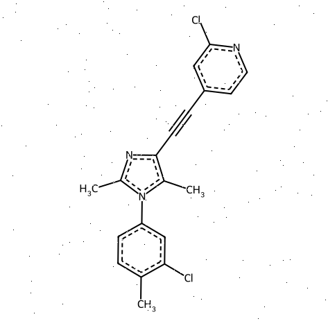 Cc1ccc(-n2c(C)nc(C#Cc3ccnc(Cl)c3)c2C)cc1Cl